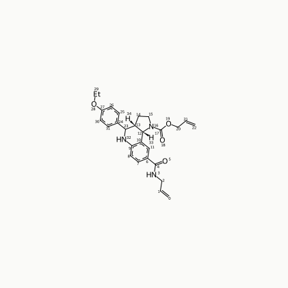 C=CCNC(=O)c1ccc2c(c1)[C@@H]1[C@@H](CCN1C(=O)OCC=C)C(c1ccc(OCC)cc1)N2